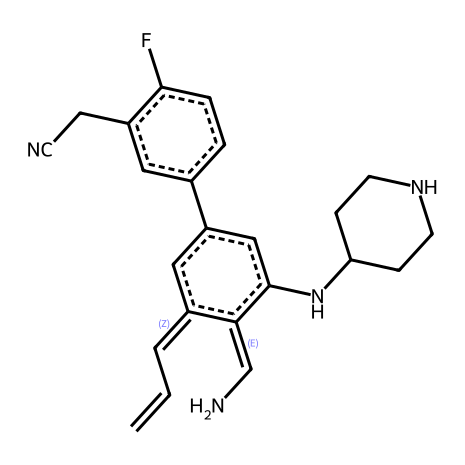 C=C/C=c1/cc(-c2ccc(F)c(CC#N)c2)cc(NC2CCNCC2)/c1=C/N